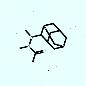 CC(=O)N(C)N(C)C1C2CC3CC(C2)CC1C3